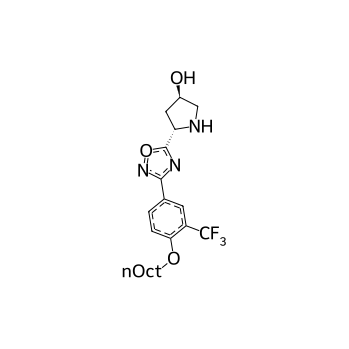 CCCCCCCCOc1ccc(-c2noc([C@@H]3C[C@@H](O)CN3)n2)cc1C(F)(F)F